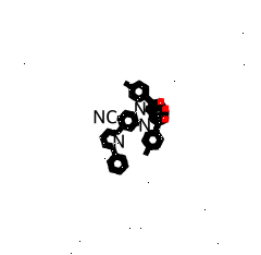 Cc1ccc2c3ccc(C)cc3n(-c3cc(C#N)c(-c4cccc(-c5ccccc5)n4)cc3-n3c4cc(C)ccc4c4ccc(C)cc43)c2c1